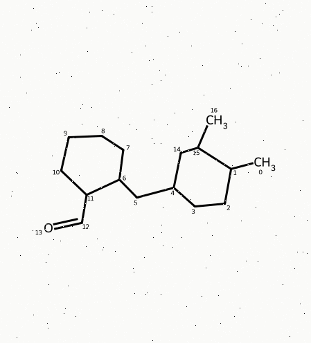 CC1CCC(CC2CCCCC2C=O)CC1C